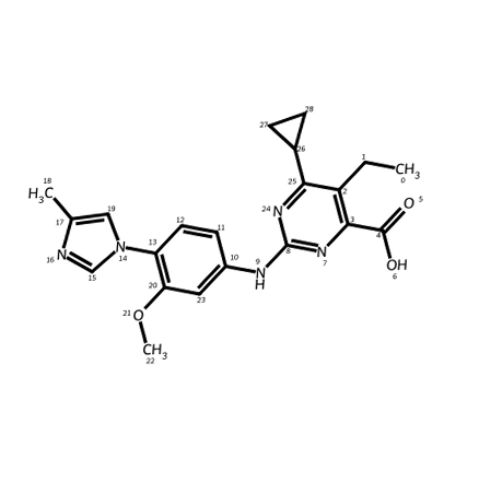 CCc1c(C(=O)O)nc(Nc2ccc(-n3cnc(C)c3)c(OC)c2)nc1C1CC1